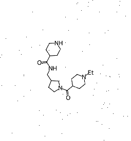 CCN1CCC(C(=O)N2CCC(CNC(=O)C3CCNCC3)C2)CC1